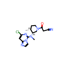 C[C@@H]1CCN(C(=O)CC#N)C[C@@H]1N(C)c1nc(Cl)cc2nccn12